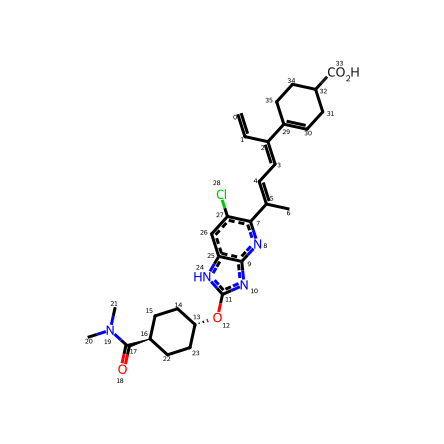 C=C/C(=C\C=C(/C)c1nc2nc(O[C@H]3CC[C@H](C(=O)N(C)C)CC3)[nH]c2cc1Cl)C1=CCC(C(=O)O)CC1